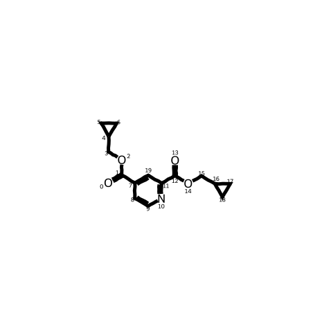 O=C(OCC1CC1)c1ccnc(C(=O)OCC2CC2)c1